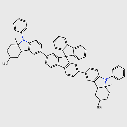 CC(C)(C)C1CCC2(C)C(C1)c1cc(-c3ccc4c(c3)C3(c5ccccc5-c5ccccc53)c3cc(-c5ccc6c(c5)C5CC(C(C)(C)C)CCC5(C)N6c5ccccc5)ccc3-4)ccc1N2c1ccccc1